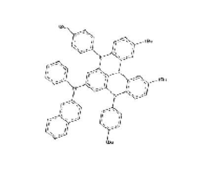 CC(C)(C)c1ccc(N2c3ccc(C(C)(C)C)cc3B3c4cc(C(C)(C)C)ccc4N(c4ccc(C(C)(C)C)cc4)c4cc(N(c5ccccc5)c5ccc6ccccc6c5)cc2c43)cc1